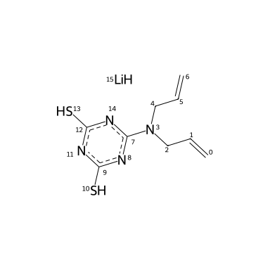 C=CCN(CC=C)c1nc(S)nc(S)n1.[LiH]